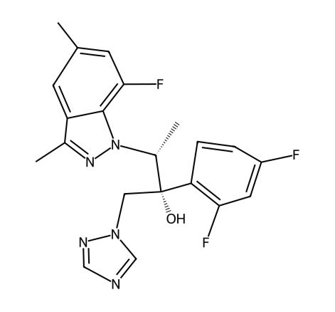 Cc1cc(F)c2c(c1)c(C)nn2[C@H](C)[C@](O)(Cn1cncn1)c1ccc(F)cc1F